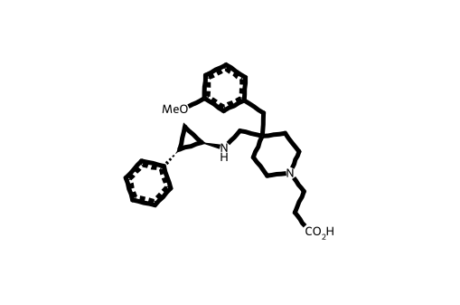 COc1cccc(CC2(CN[C@@H]3C[C@H]3c3ccccc3)CCN(CCC(=O)O)CC2)c1